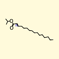 CCCCCCCCCCCCC/C=C/C(=O)OC(C)C